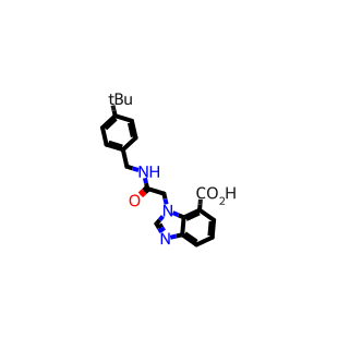 CC(C)(C)c1ccc(CNC(=O)Cn2cnc3cccc(C(=O)O)c32)cc1